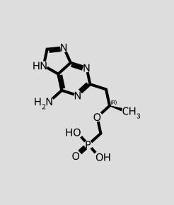 C[C@H](Cc1nc(N)c2[nH]cnc2n1)OCP(=O)(O)O